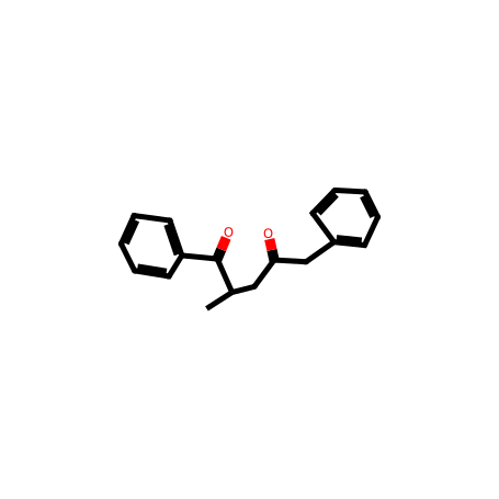 CC(CC(=O)Cc1ccccc1)C(=O)c1ccccc1